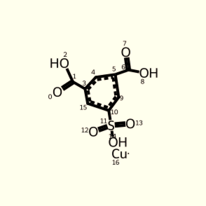 O=C(O)c1cc(C(=O)O)cc(S(=O)(=O)O)c1.[Cu]